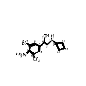 Nc1c(Br)cc(C(O)CNC2CCC2)cc1C(F)(F)F